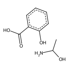 CC(N)O.O=C(O)c1ccccc1O